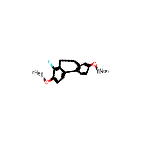 CCCCCCCCCOc1ccc2c(c1)CCc1c-2ccc(OCCCCCC)c1F